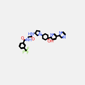 O=C(CNC(=O)c1cccc(C(F)(F)F)c1)N[C@@H]1CCN(C2CCC(O)(c3ccc(-c4cnccn4)cn3)CC2)C1